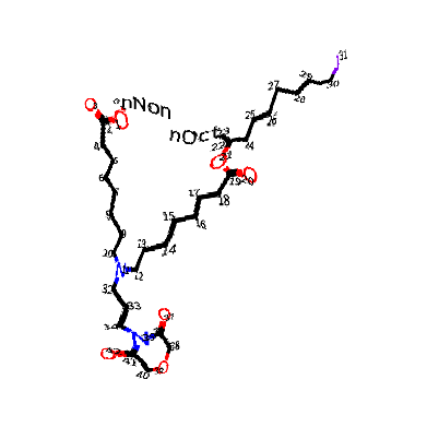 CCCCCCCCCOC(=O)CCCCCCCN(CCCCCCCC(=O)OC(CCCCCCCC)CCCCCCCI)CCCN1C(=O)COCC1=O